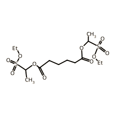 CCOS(=O)(=O)C(C)OC(=O)CCCCC(=O)OC(C)S(=O)(=O)OCC